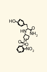 NC(=O)[C@H](Cc1ccc(O)cc1)N[C@H]1CCN(S(=O)(=O)c2ccccc2[N+](=O)[O-])C1